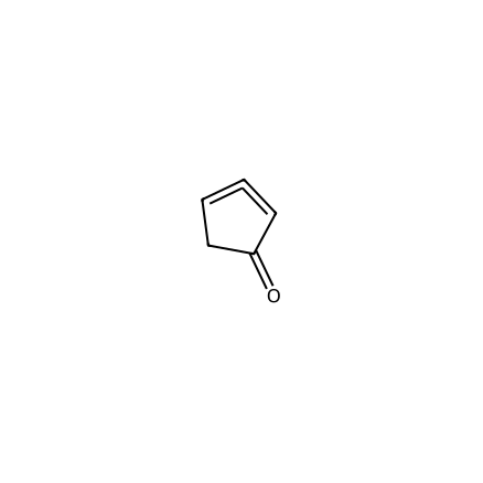 O=C1C=C=CC1